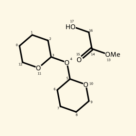 C1CCC(OC2CCCCO2)OC1.COC(=O)CO